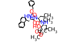 COC(=O)C[C@H](O)[C@H](CC(C)C)NC(=O)[C@H](CC(C)C)NC(=O)[C@H](Cc1cccc2ccccc12)NC(=O)OCc1ccccc1